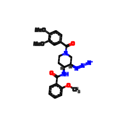 COc1ccc(C(=O)N2CC[C@H](NC(=O)c3ccccc3OC(F)(F)F)[C@H](N=[N+]=[N-])C2)cc1OC